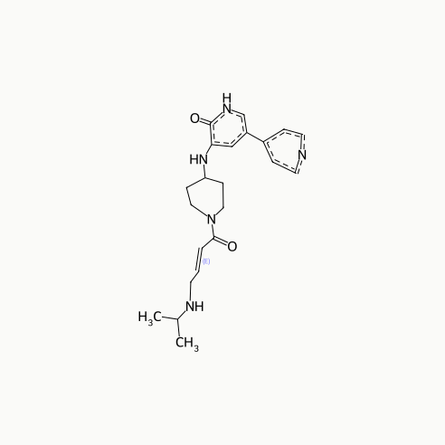 CC(C)NC/C=C/C(=O)N1CCC(Nc2cc(-c3ccncc3)c[nH]c2=O)CC1